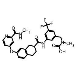 CNC(=O)c1cc(Oc2ccc3c(c2)CC(C(=O)Nc2cc(CN(C)C(=O)O)cc(C(F)(F)F)c2)CC3)ccn1